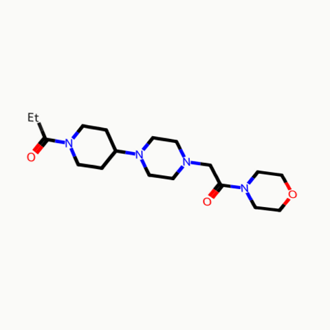 CCC(=O)N1CCC(N2CCN(CC(=O)N3CCOCC3)CC2)CC1